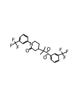 CC(C)(C1CCN(c2cccc(C(F)(F)F)c2)C(=O)C1)S(=O)(=O)c1cccc(C(F)(F)F)c1